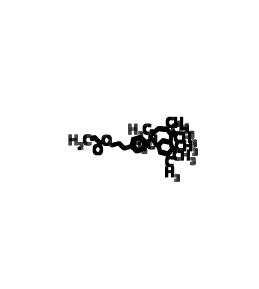 C=CC(=O)OCCCc1ccc(N2C(=C)/C=C(/C)C(C)(C)C3=CC2(C)C=C(C)C3(C)C)cc1